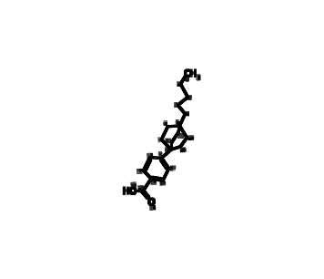 CCCCCC12CCC(c3ccc(C(=O)O)cc3)(CC1)CC2